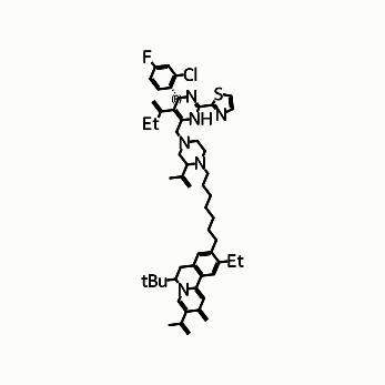 C=C(C)C1=CN2C(=CC1=C)c1cc(CC)c(CCCCCCCN3CCN(CC4=C(C(=C)CC)[C@H](c5ccc(F)cc5Cl)N=C(c5nccs5)N4)CC3C(=C)C)cc1CC2C(C)(C)C